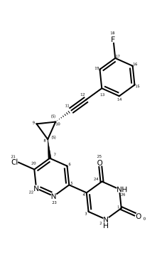 O=c1[nH]cc(-c2cc([C@H]3C[C@@H]3C#Cc3cccc(F)c3)c(Cl)nn2)c(=O)[nH]1